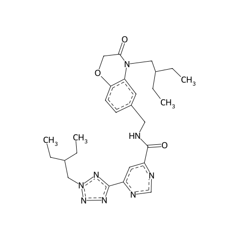 CCC(CC)CN1C(=O)COc2ccc(CNC(=O)c3cc(-c4nnn(CC(CC)CC)n4)ncn3)cc21